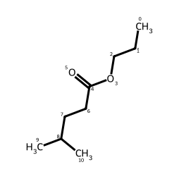 C[CH]COC(=O)CCC(C)C